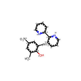 Cc1cc([N+](=O)[O-])cc([N+](=O)[O-])c1O.c1ccc(-c2ccccn2)nc1